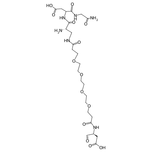 NC(=O)CNC(=O)C(CC(=O)O)NC(=O)[C@@H](N)CNC(=O)CCOCCOCCOCCOCCC(=O)N[C@H](C=O)CC(=O)O